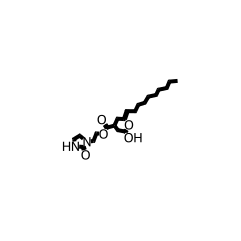 CCCCCCCCC/C=C/CC(CC(=O)O)C(=O)OCCN1CCNC1=O